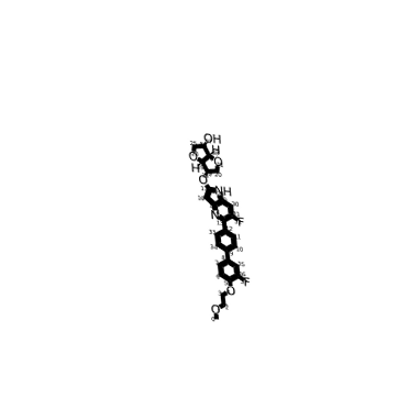 COCCOc1ccc(-c2ccc(-c3nc4cc(O[C@@H]5CO[C@H]6[C@@H]5OC[C@H]6O)[nH]c4cc3F)cc2)cc1F